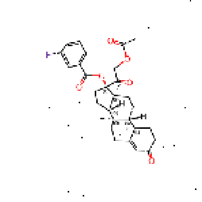 CC(=O)OCC(=O)[C@@]1(OC(=O)c2cccc(I)c2)CC[C@H]2[C@@H]3CCC4=CC(=O)CC[C@]4(C)[C@H]3CC[C@@]21C